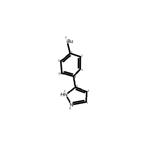 CCC(C)c1ccc(-c2ccn[nH]2)cc1